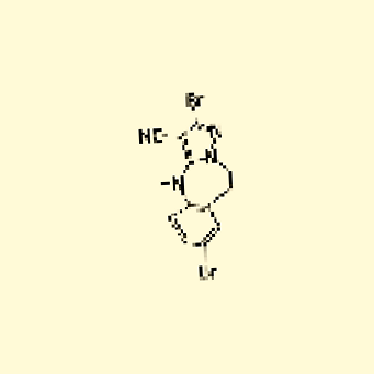 N#Cc1c(Br)nn2c1Nc1ccc(Br)cc1CC2